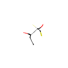 CC(O)C(O)(S)S